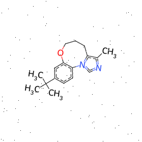 Cc1ncn2c1CCCOc1cc(C(C)(C)C)ccc1-2